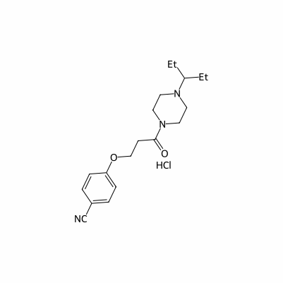 CCC(CC)N1CCN(C(=O)CCOc2ccc(C#N)cc2)CC1.Cl